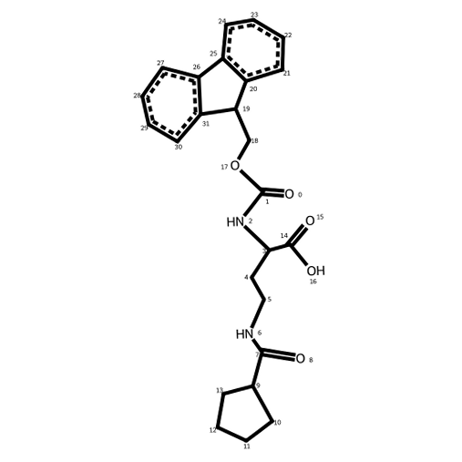 O=C(NC(CCNC(=O)C1CCCC1)C(=O)O)OCC1c2ccccc2-c2ccccc21